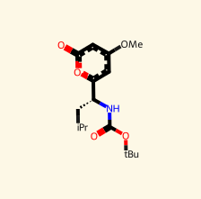 COc1cc([C@@H](CC(C)C)NC(=O)OC(C)(C)C)oc(=O)c1